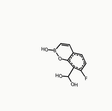 OB1C=Cc2ccc(F)c(C(O)O)c2O1